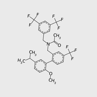 COc1ccc(C(C)C)cc1-c1ccc(C(F)(F)F)cc1CN(Cc1cc(C(F)(F)F)cc(C(F)(F)F)c1)C(C)=O